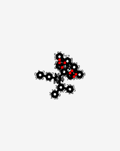 c1ccc(-c2ccc(-c3nc(-c4cc(-c5ccccc5)cc(-c5ccccc5)c4)nc(-c4cc(-c5ccccc5)c(-n5c6c(-c7ccccc7)c(-c7ccccc7)ccc6c6ccc(-c7ccccc7)c(-c7ccccc7)c65)c(-c5ccccc5)c4)n3)cc2)cc1